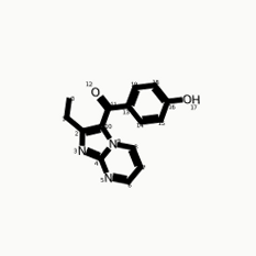 CCc1nc2ncccn2c1C(=O)c1ccc(O)cc1